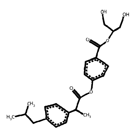 CC(C)Cc1ccc(C(C)C(=O)Oc2ccc(C(=O)OC(CO)CO)cc2)cc1